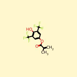 C=C(C)C(=O)Oc1cc(C(F)(F)F)c(O)c(C(F)(F)F)c1